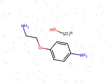 NCCOc1ccc(N)cc1.O=S(=O)(O)O